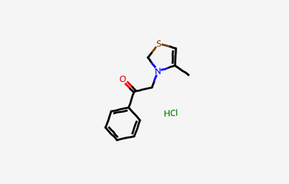 CC1=CSCN1CC(=O)c1ccccc1.Cl